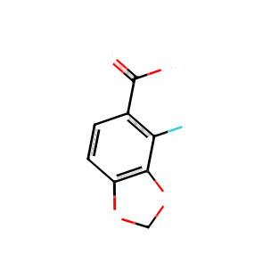 O=C(O)c1ccc2c(c1F)OCO2